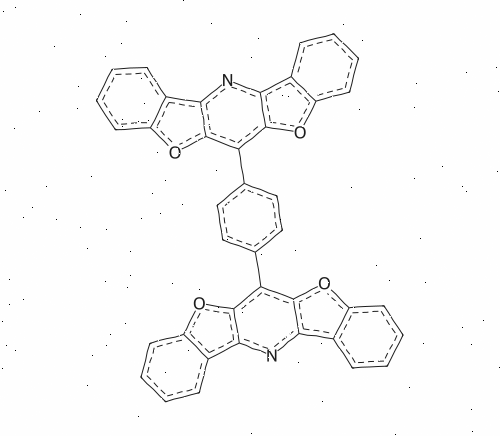 c1ccc2c(c1)oc1c(-c3ccc(-c4c5oc6ccccc6c5nc5c4oc4ccccc45)cc3)c3oc4ccccc4c3nc12